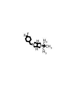 CC(C)(C)N1C[C@H]2CN(CC3CCC(F)(F)CC3)C[C@H]2C1